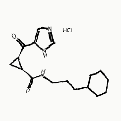 Cl.O=C(NCCCC1CCCCC1)[C@H]1C[C@H]1C(=O)c1cnc[nH]1